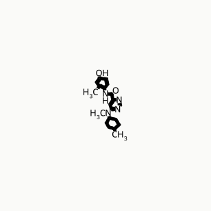 Cc1cc(O)ccc1NC(=O)c1cc(N(C)C2CCC(C)CC2)ncn1